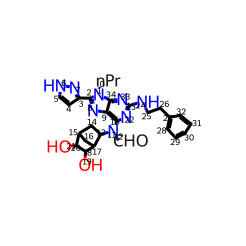 CCCn1c(-c2cc[nH]n2)nc2c(N(C=O)C3CC4CC3C(O)C4O)nc(NCCc3ccccc3)nc21